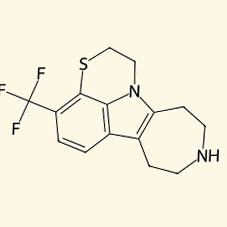 FC(F)(F)c1ccc2c3c(n4c2c1SCC4)CCNCC3